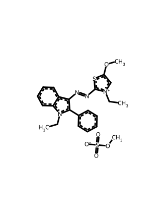 CCn1c(-c2ccccc2)c(N=Nc2sc(OC)c[n+]2CC)c2ccccc21.COS(=O)(=O)[O-]